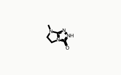 CN1CCn2c1n[nH]c2=O